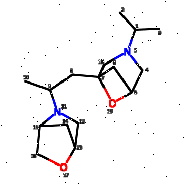 CC(C)N1CC2CC(CC(C)N3CC4CC3CO4)(C1)O2